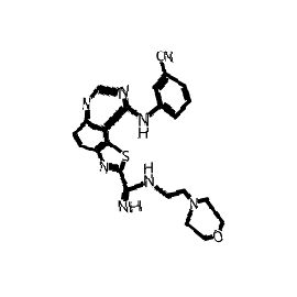 N#Cc1cccc(Nc2ncnc3ccc4nc(C(=N)NCCN5CCOCC5)sc4c23)c1